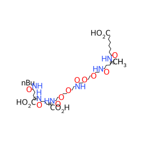 CCCCNC(=O)CC[C@H](NC(=O)CC[C@H](NC(=O)COCCOCCNC(=O)COCCOCCNC(=O)CC[C@@H](C)NC(=O)CCCCCCC(=O)O)C(=O)O)C(=O)O